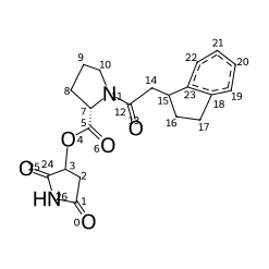 O=C1CC(OC(=O)[C@@H]2CCCN2C(=O)CC2CCc3ccccc32)C(=O)N1